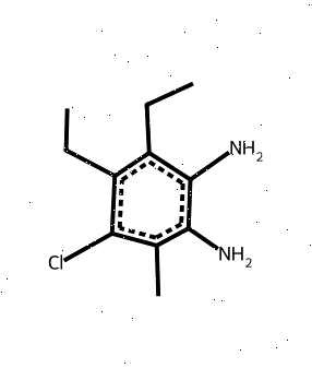 CCc1c(N)c(N)c(C)c(Cl)c1CC